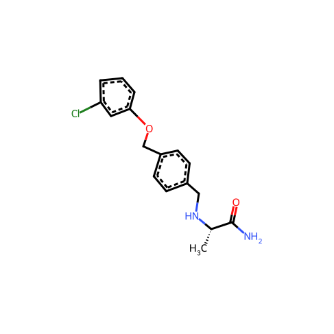 C[C@H](NCc1ccc(COc2cccc(Cl)c2)cc1)C(N)=O